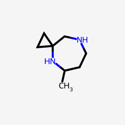 CC1CCNCC2(CC2)N1